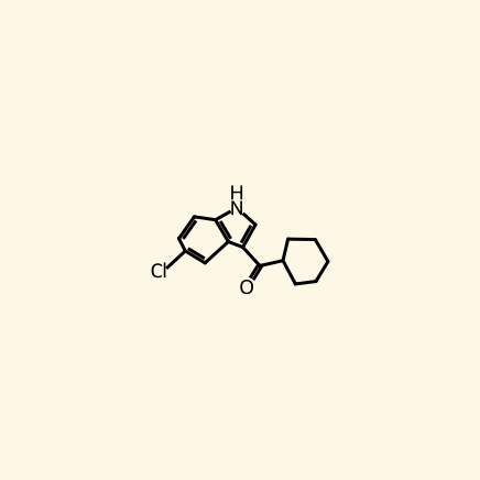 O=C(c1c[nH]c2ccc(Cl)cc12)C1CCCCC1